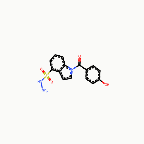 NNS(=O)(=O)c1cccc2c1ccn2C(=O)c1ccc(O)cc1